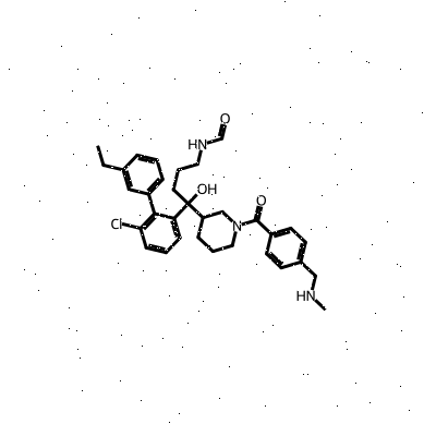 CCc1cccc(-c2c(Cl)cccc2C(O)(CCCNC=O)C2CCCN(C(=O)c3ccc(CNC)cc3)C2)c1